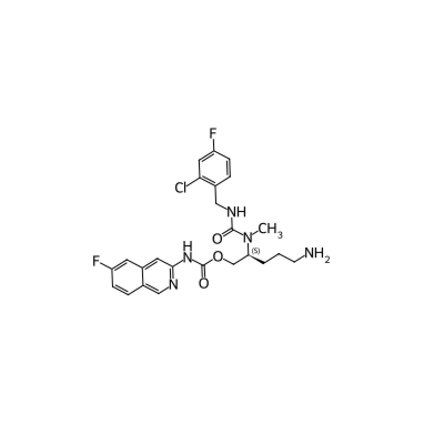 CN(C(=O)NCc1ccc(F)cc1Cl)[C@@H](CCCN)COC(=O)Nc1cc2cc(F)ccc2cn1